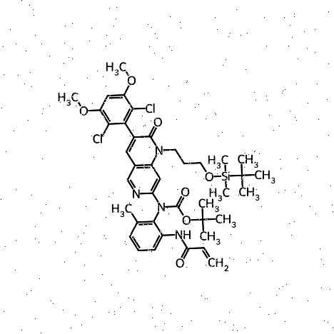 C=CC(=O)Nc1cccc(C)c1N(C(=O)OC(C)(C)C)c1cc2c(cn1)cc(-c1c(Cl)c(OC)cc(OC)c1Cl)c(=O)n2CCCO[Si](C)(C)C(C)(C)C